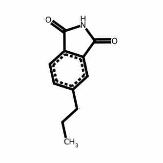 CC[CH]c1ccc2c(c1)C(=O)NC2=O